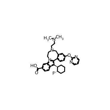 CN(C)CCN1CCn2c(c([C@H]3CCCC[C@@H]3F)c3ccc(C(=O)O)cc32)-c2ccc(Oc3ncccn3)cc2C1